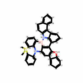 CS1(C)c2ccccc2N2c3cc4c(oc5ccccc54)c4c3B(c3cccc1c32)n1c2ccc3ccccc3c2c2cccc-4c21